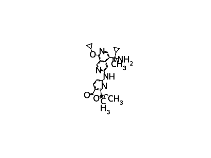 CC[C@@]1(C)OC(=O)c2ccc(Nc3cc4c([C@](C)(N)C5CC5)cnc(OC5CC5)c4cn3)nc21